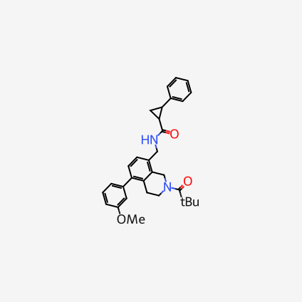 COc1cccc(-c2ccc(CNC(=O)C3CC3c3ccccc3)c3c2CCN(C(=O)C(C)(C)C)C3)c1